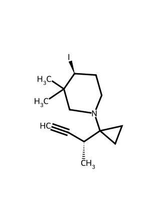 C#C[C@@H](C)C1(N2CC[C@H](I)C(C)(C)C2)CC1